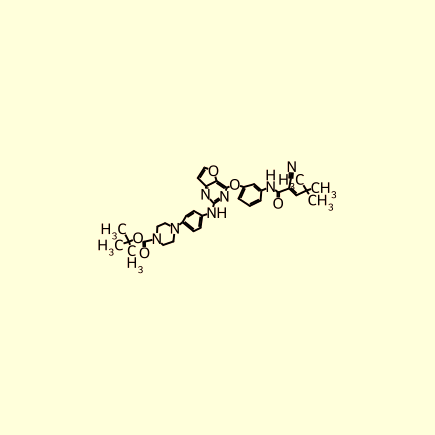 CC(C)(C)/C=C(\C#N)C(=O)Nc1cccc(Oc2nc(Nc3ccc(N4CCN(C(=O)OC(C)(C)C)CC4)cc3)nc3ccoc23)c1